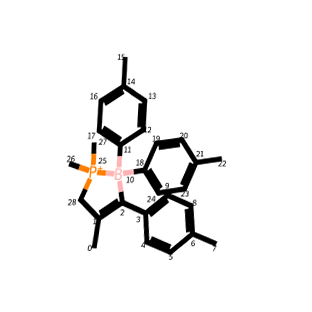 CC1=C(c2ccc(C)cc2)[B-](c2ccc(C)cc2)(c2ccc(C)cc2)[P+](C)(C)C1